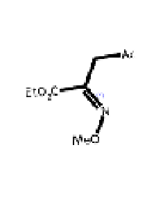 CCOC(=O)/C(CC(C)=O)=N\OC